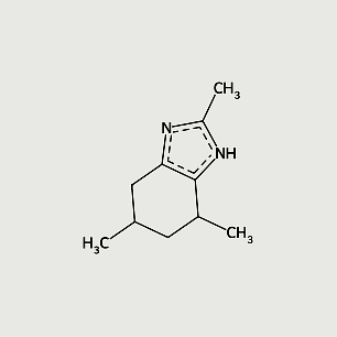 Cc1nc2c([nH]1)C(C)CC(C)C2